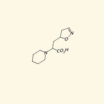 O=C(O)C(CC1CC=NO1)N1CCCCC1